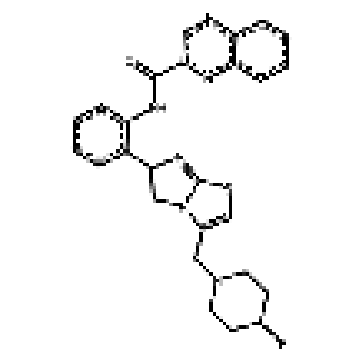 O=C(Nc1ccccc1C1CN2C(CN3CCC(F)CC3)=CSC2=N1)c1cnc2ccccc2n1